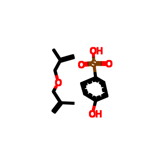 C=C(C)COCC(=C)C.O=S(=O)(O)c1ccc(O)cc1